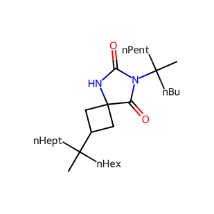 CCCCCCCC(C)(CCCCCC)C1CC2(C1)NC(=O)N(C(C)(CCCC)CCCCC)C2=O